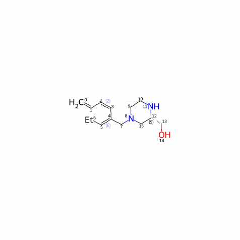 C=C/C=C\C(=C/CC)CN1CCN[C@H](CO)C1